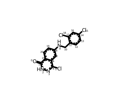 O=c1[nH]nc(Cl)c2cc(NCc3ccc(Cl)cc3Cl)ccc12